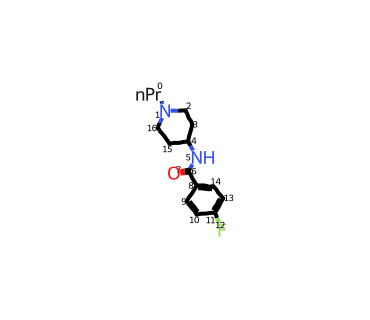 [CH2]CCN1CCC(NC(=O)c2ccc(F)cc2)CC1